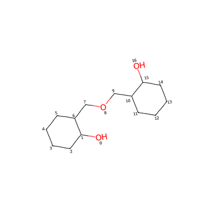 OC1CCCCC1COCC1CCCCC1O